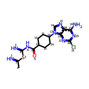 CC(=N)SC(=N)NC(=O)C1CCC(n2cnc3c(N)nc(Cl)nc32)CC1